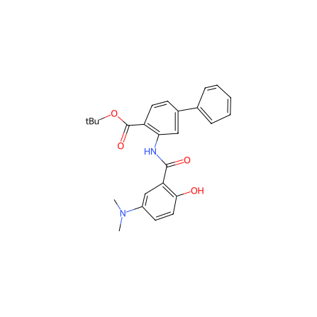 CN(C)c1ccc(O)c(C(=O)Nc2cc(-c3ccccc3)ccc2C(=O)OC(C)(C)C)c1